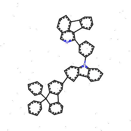 c1ccc(C2(c3ccccc3)c3ccccc3-c3cc(-c4ccc5c(c4)c4ccccc4n5-c4cccc(-c5ncc6cccc7c6c5-c5ccccc5-7)c4)ccc32)cc1